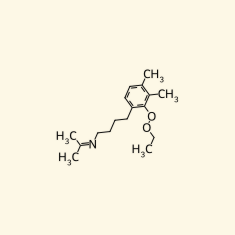 CCOOc1c(CCCCN=C(C)C)ccc(C)c1C